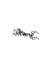 Cc1cccc(N(C2=CC=CC(C)C2)c2ccc3cc4c(cc3c2)oc2cc3c(C(C)C)c(N(c5cccc(C)c5)c5cccc(C)c5)ccc3cc24)c1